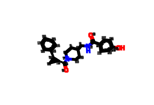 O=C(NCC1CCN(C(=O)[C@@H]2C[C@H]2c2ccccc2)CC1)c1ccc(O)cc1